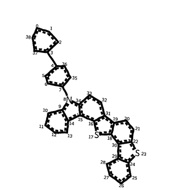 c1ccc(-c2ccc(-n3c4ccccc4c4c5sc6c(ccc7sc8ccccc8c76)c5ccc43)cc2)cc1